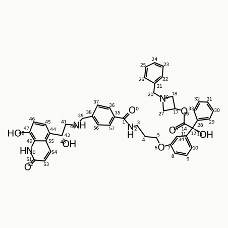 O=C(NCCCOc1cccc([C@](O)(C(=O)OC2CN(Cc3ccccc3)C2)c2ccccc2)c1)c1ccc(CNC[C@H](O)c2ccc(O)c3[nH]c(=O)ccc23)cc1